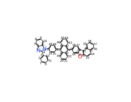 c1ccc(-c2nc3ccccc3n2-c2ccc(-c3c4ccccc4c(-c4ccc5c(c4)oc4ccc6ccccc6c45)c4ccccc34)cc2)cc1